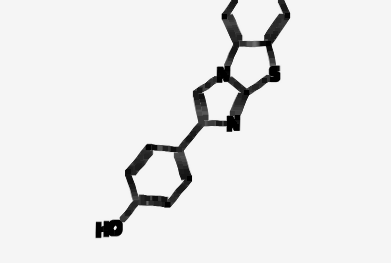 Oc1ccc(-c2cn3c(n2)sc2ccccc23)cc1